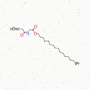 CCCCCCCCCCCC(=O)N(C)CC(=O)OCCCCCCCCCCCCCCCC(C)C